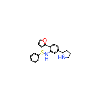 c1ccc(SNc2cc(C3CCCN3)ccc2-c2ccco2)cc1